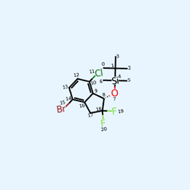 CC(C)(C)[Si](C)(C)O[C@H]1c2c(Cl)ccc(Br)c2CC1(F)F